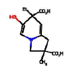 CCC1(C(=O)O)C=C2CC(C)(C(=O)O)CN2C=C1O